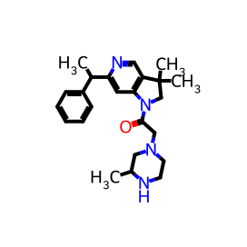 CC1CN(CC(=O)N2CC(C)(C)c3cnc(C(C)c4ccccc4)cc32)CCN1